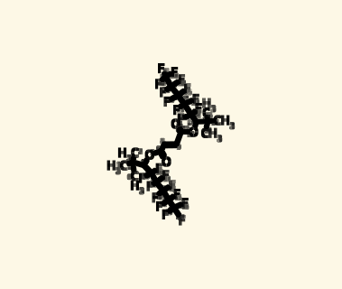 CC(C)(C)C(OC(=O)/C=C/C(=O)OC(C(C)(C)C)C(F)(F)C(F)(F)C(F)(F)C(F)(F)C(F)(F)F)C(F)(F)C(F)(F)C(F)(F)C(F)(F)C(F)(F)F